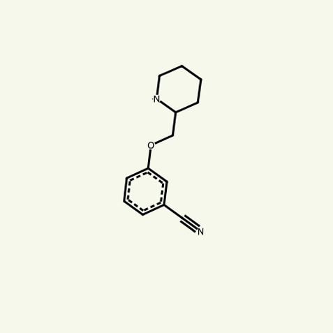 N#Cc1cccc(OCC2CCCC[N]2)c1